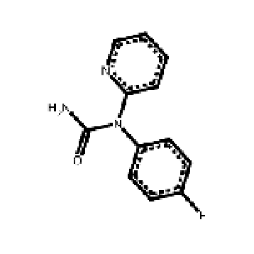 NC(=O)N(c1ccc(F)cc1)c1ccccn1